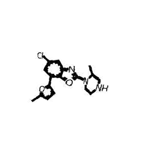 Cc1ccc(-c2cc(Cl)cc3nc(N4CCNCC4C)oc23)o1